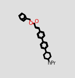 CCCC1CCC(c2ccc(-c3ccc(/C=C/C(=O)OCC4CC5C=CC4C5)cc3)cc2)CC1